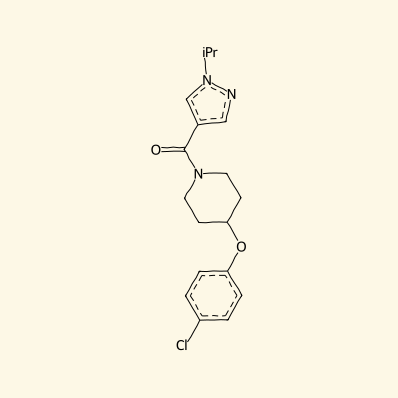 CC(C)n1cc(C(=O)N2CCC(Oc3ccc(Cl)cc3)CC2)cn1